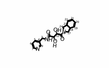 O=C(NCc1cccnc1)[C@H](O)[C@@H](O)C(=O)N1CC2C=CC=CC2C1